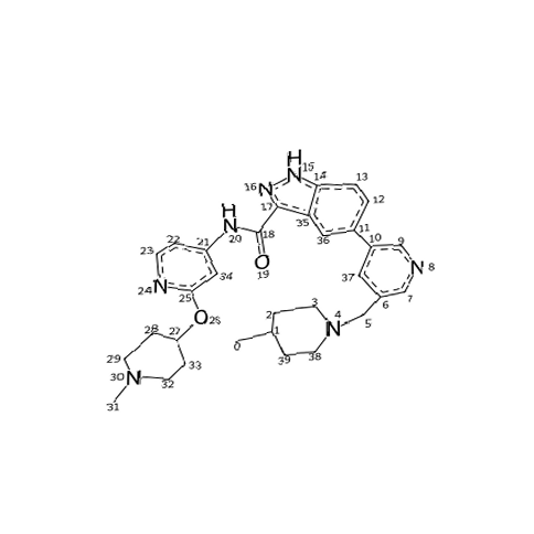 CC1CCN(Cc2cncc(-c3ccc4[nH]nc(C(=O)Nc5ccnc(OC6CCN(C)CC6)c5)c4c3)c2)CC1